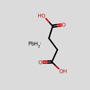 O=C(O)CCC(=O)O.[PbH2]